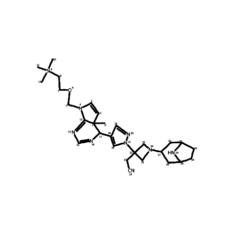 CC12C=CN(COCC[Si](C)(C)C)C1=NC=NC2c1cnn(C2(CC#N)CN(C3CC4CCC(C3)N4)C2)c1